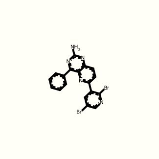 Nc1nc(-c2ccccc2)c2nc(-c3cc(Br)cnc3Br)ccc2n1